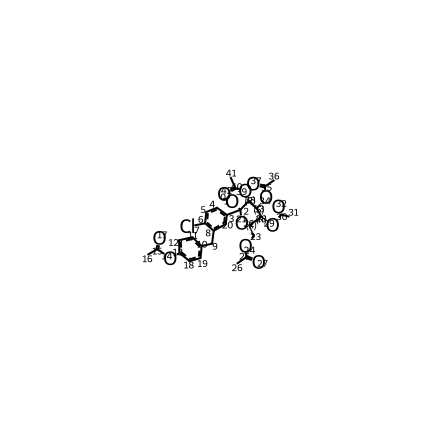 COC1(c2ccc(Cl)c(Cc3ccc(OC(C)=O)cc3)c2)O[C@H](COC(C)=O)[C@@H](OC(C)=O)[C@H](OC(C)=O)[C@H]1OC(C)=O